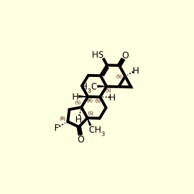 C[C@]12CC[C@H]3[C@@H](CCC4=C(S)C(=O)[C@H]5CC5[C@@]43C)[C@@H]1C[C@@H](F)C2=O